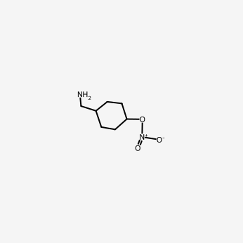 NCC1CCC(O[N+](=O)[O-])CC1